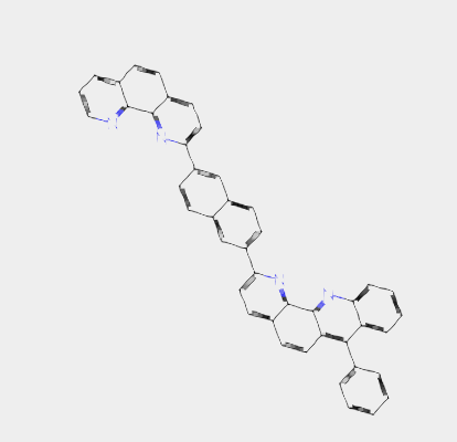 c1ccc(-c2c3ccccc3nc3c2ccc2ccc(-c4ccc5cc(-c6ccc7ccc8cccnc8c7n6)ccc5c4)nc23)cc1